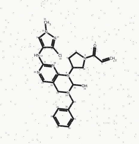 C=CC(=O)N1CCC(N2c3nc(Nc4cn(C)nc4Cl)ncc3CN(Cc3ccccc3)C2O)C1